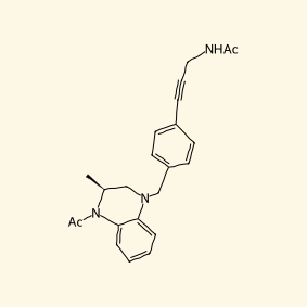 CC(=O)NCC#Cc1ccc(CN2C[C@H](C)N(C(C)=O)c3ccccc32)cc1